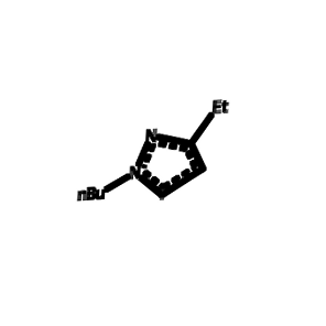 CCCCn1[c]cc(CC)n1